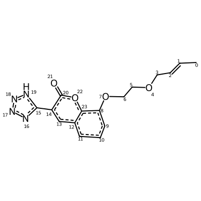 CC=CCOCCOc1cccc2cc(-c3nnn[nH]3)c(=O)oc12